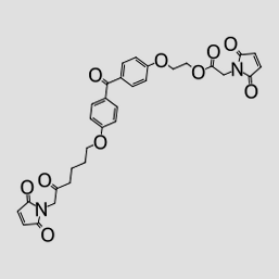 O=C(CCCCOc1ccc(C(=O)c2ccc(OCCOC(=O)CN3C(=O)C=CC3=O)cc2)cc1)CN1C(=O)C=CC1=O